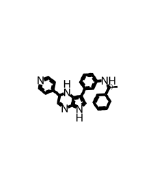 C[C@H](Nc1cccc(-c2c[nH]c3c2NC(c2ccncc2)C=N3)c1)C1C=CC=CC1